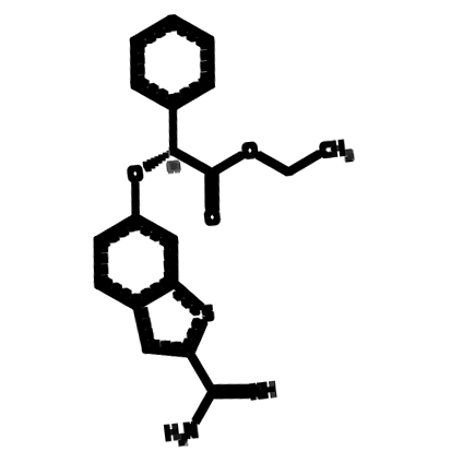 CCOC(=O)[C@H](Oc1ccc2cc(C(=N)N)sc2c1)c1ccccc1